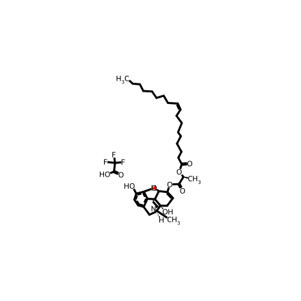 CCCCCCCC/C=C\CCCCCCCC(=O)O[C@@H](C)C(=O)OC1=CC[C@@]2(O)[C@H]3Cc4ccc(O)c5c4[C@@]2(CCN3C)[C@H]1O5.O=C(O)C(F)(F)F